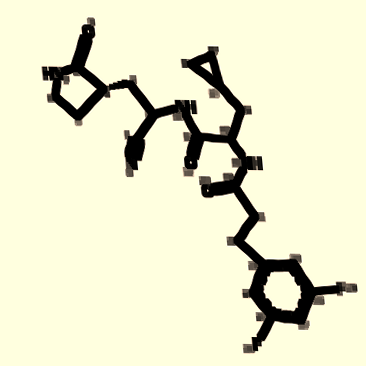 N#CC(C[C@@H]1CCNC1=O)NC(=O)C(CC1CC1)NC(=O)CCc1cc(F)cc(F)c1